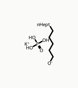 CCCCCCCCCCCC[O-].O=P(O)(O)O.[K+]